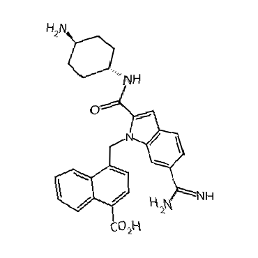 N=C(N)c1ccc2cc(C(=O)N[C@H]3CC[C@H](N)CC3)n(Cc3ccc(C(=O)O)c4ccccc34)c2c1